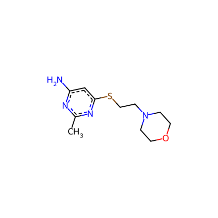 Cc1nc(N)cc(SCCN2CCOCC2)n1